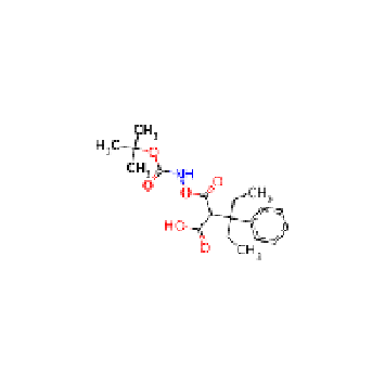 CCC(CC)(c1ccccc1)C(C(=O)O)C(=O)ONC(=O)OC(C)(C)C